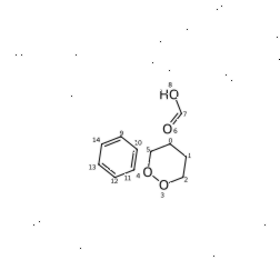 C1CCOOC1.O=CO.c1ccccc1